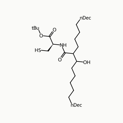 CCCCCCCCCCCCCCCC(O)C(CCCCCCCCCCCCCC)C(=O)N[C@@H](CS)C(=O)OC(C)(C)C